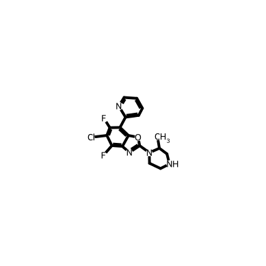 CC1CNCCN1c1nc2c(F)c(Cl)c(F)c(-c3ccccn3)c2o1